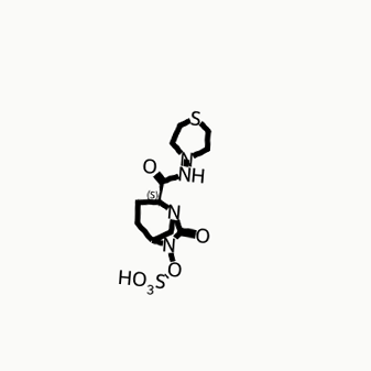 O=C(NN1CCSCC1)[C@@H]1CCC2CN1C(=O)N2OS(=O)(=O)O